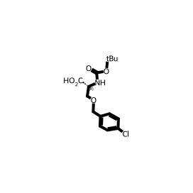 CC(C)(C)OC(=O)N[C@H](COCc1ccc(Cl)cc1)C(=O)O